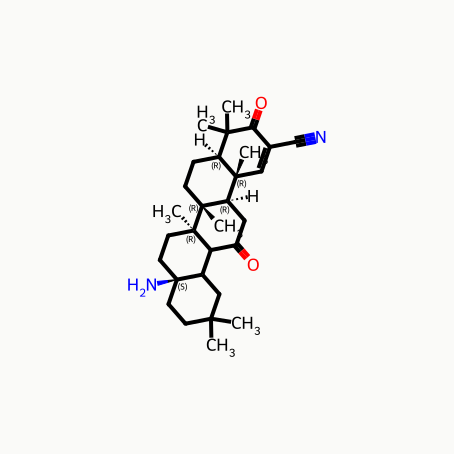 CC1(C)CC[C@]2(N)CC[C@]3(C)C(C(=O)C[C@@H]4[C@@]5(C)C=C(C#N)C(=O)C(C)(C)[C@@H]5CC[C@]43C)C2C1